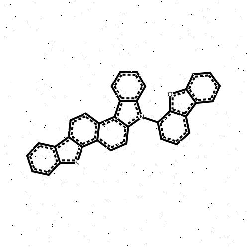 c1ccc2c(c1)oc1c(-n3c4ccccc4c4c5ccc6c7ccccc7sc6c5ccc43)cccc12